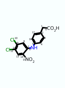 O=C(O)Cc1ccc(Nc2cc(Cl)c(Cl)cc2[N+](=O)[O-])cc1